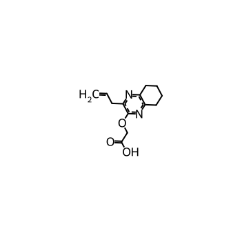 C=CCc1nc2c(nc1OCC(=O)O)CCCC2